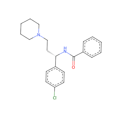 O=C(N[C@@H](CCN1CCCCC1)c1ccc(Cl)cc1)c1ccccc1